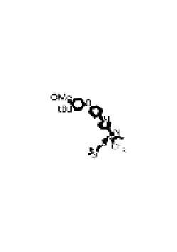 COC[C@]1(C(C)(C)C)CC[C@H](Oc2ccc(-c3ccc(-c4nc(C)c(C(F)(F)F)n4COCC[Si](C)(C)C)cn3)cc2)CC1